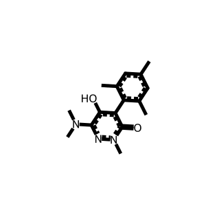 Cc1cc(C)c(-c2c(O)c(N(C)C)nn(C)c2=O)c(C)c1